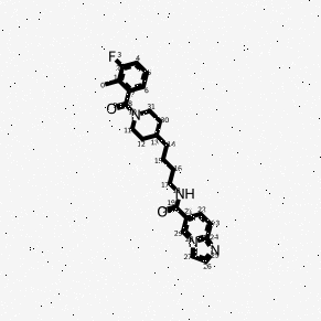 Cc1c(F)cccc1C(=O)N1CCC(CCCCNC(=O)c2ccc3nccn3c2)CC1